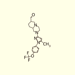 Cc1cc(N2CCN3CC(C=O)CCC3C2)nn1-c1ccc(OC(F)(F)F)cc1